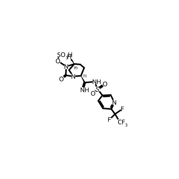 N=C(NS(=O)(=O)c1ccc(C(F)(F)C(F)(F)F)nc1)[C@@H]1CC[C@@H]2CN1C(=O)N2OS(=O)(=O)O